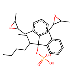 CCCCC(CC)C(OP(=O)(O)O)(c1ccccc1CC1OC1C)c1ccccc1CC1OC1C